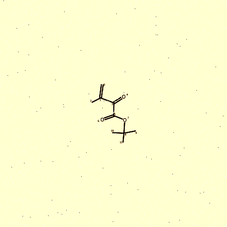 C=C(C)C(=O)C(=O)OC(C)(C)C